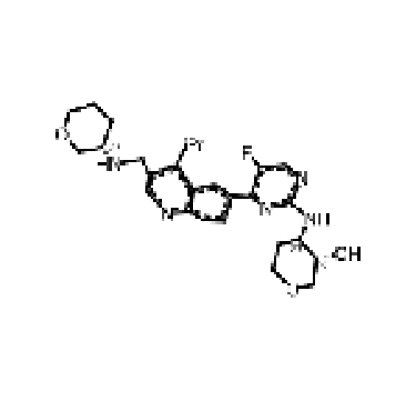 CC(C)c1c(CN[C@H]2CCCOC2)cnc2ccc(-c3nc(N[C@@H]4CCOC[C@H]4O)ncc3F)cc12